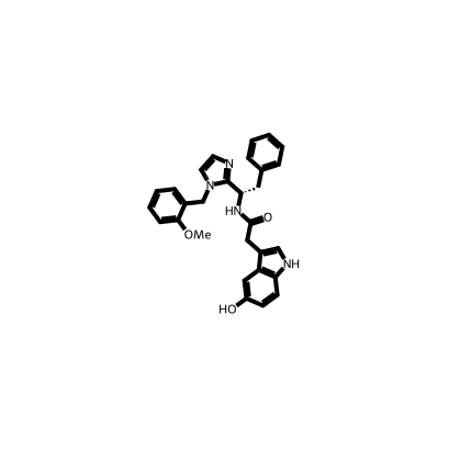 COc1ccccc1Cn1ccnc1[C@H](Cc1ccccc1)NC(=O)Cc1c[nH]c2ccc(O)cc12